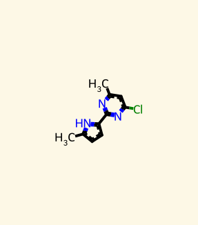 Cc1cc(Cl)nc(-c2ccc(C)[nH]2)n1